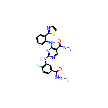 CNC(=O)c1ccc(F)c(Nc2ncc(C(N)=O)c(Nc3ccccc3-c3nccs3)n2)c1